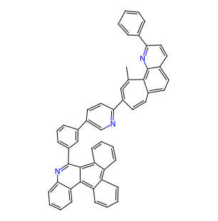 CC1=C=C(c2ccc(-c3cccc(-c4nc5ccccc5c5c6ccccc6c6ccccc6c45)c3)cn2)C=Cc2ccc3ccc(-c4ccccc4)nc3c21